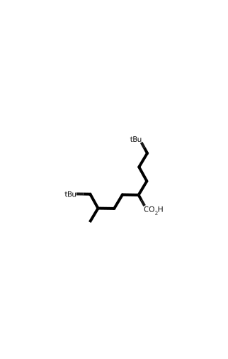 CC(CCC(CCCC(C)(C)C)C(=O)O)CC(C)(C)C